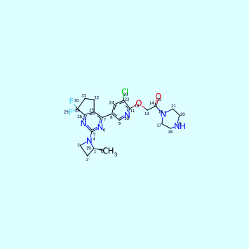 C[C@H]1CCN1c1nc(-c2cnc(OCC(=O)N3CCNCC3)c(Cl)c2)c2c(n1)C(F)(F)CC2